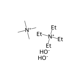 CC[N+](CC)(CC)CC.C[N+](C)(C)C.[OH-].[OH-]